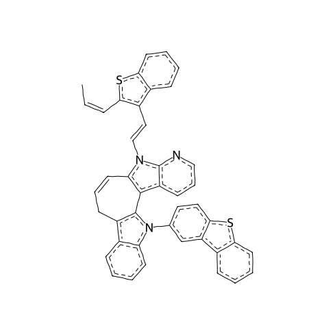 C/C=C\c1sc2ccccc2c1/C=C/n1c2c(c3cccnc31)-c1c(c3ccccc3n1-c1ccc3sc4ccccc4c3c1)CC=C2